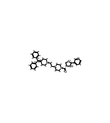 O=C([C@@H]1CSC(c2cccnc2)N1)N1CCN(CCN2CCC(=C(c3ccccc3)c3ccccc3)CC2)CC1